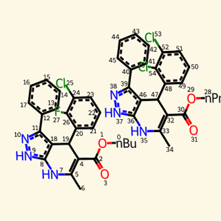 CCCCOC(=O)C1=C(C)Nc2[nH]nc(-c3ccccc3)c2C1c1cccc(Cl)c1F.CCCOC(=O)C1=C(C)Nc2[nH]nc(-c3ccccc3)c2C1c1cccc(Cl)c1Cl